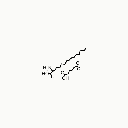 CCCCCCCCCCCCCCC(N)C(=O)O.O=C(O)CCCCC(=O)O